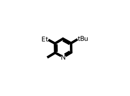 CCc1cc(C(C)(C)C)cnc1C